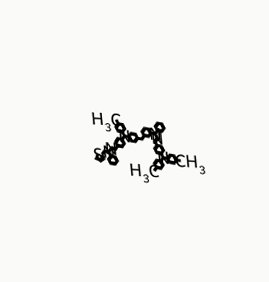 Cc1ccc(N(c2ccc(C)cc2)c2ccc(/C=N/N(c3ccccc3)c3cccc(Cc4ccc(N(c5ccc(C)cc5)c5ccc(/C=N/N(Cc6cccs6)c6ccccc6)cc5)cc4)c3)cc2)cc1